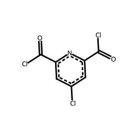 O=C(Cl)c1cc(Cl)cc(C(=O)Cl)n1